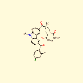 CCn1c2ccc(C(=O)c3ccc(F)cc3C)cc2c2cc(C(=O)C(CCC(=O)OC)(CCC(=O)OC)C(C)=O)ccc21